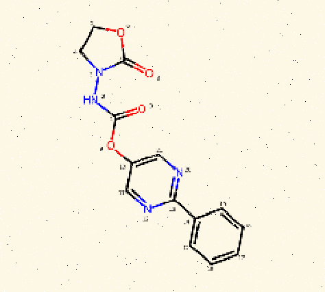 O=C(NN1CCOC1=O)Oc1cnc(-c2ccccc2)nc1